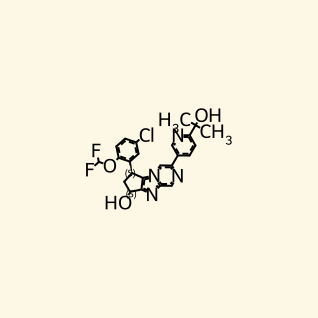 CC(C)(O)c1ccc(-c2cn3c4c(nc3cn2)[C@@H](O)C[C@H]4c2cc(Cl)ccc2OC(F)F)cn1